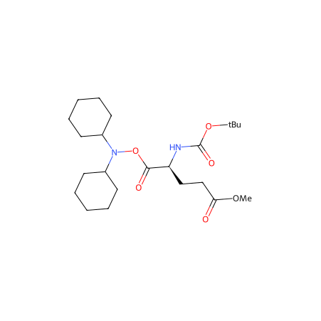 COC(=O)CC[C@H](NC(=O)OC(C)(C)C)C(=O)ON(C1CCCCC1)C1CCCCC1